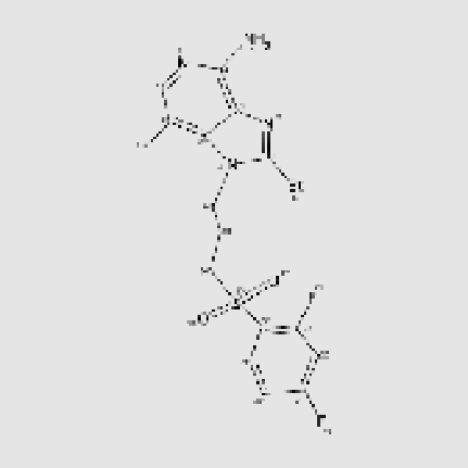 CCc1nc2c(N)ncc(C)c2n1CCCS(=O)(=O)c1ccc(F)cc1F